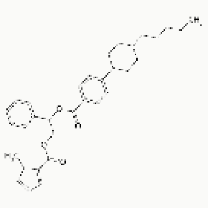 CCCCCC1CCC(c2ccc(C(=O)OC(COC(=O)C3=CC=CC3C)c3ccccc3)cc2)CC1